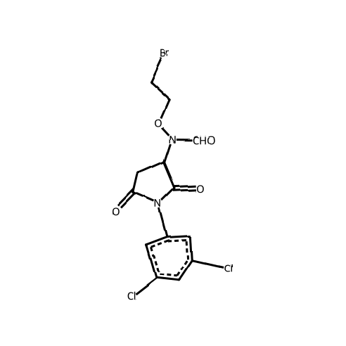 O=CN(OCCBr)C1CC(=O)N(c2cc(Cl)cc(Cl)c2)C1=O